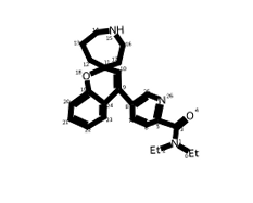 CCN(CC)C(=O)c1ccc(C2=CC3(CCCNCC3)Oc3ccccc32)cn1